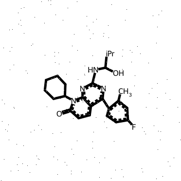 Cc1cc(F)ccc1-c1nc(NC(O)C(C)C)nc2c1ccc(=O)n2C1CCCCC1